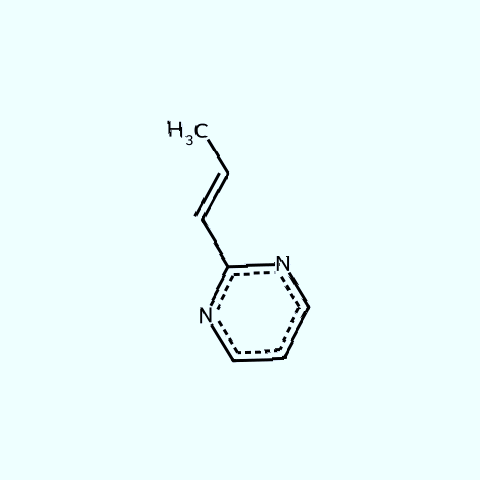 CC=Cc1ncccn1